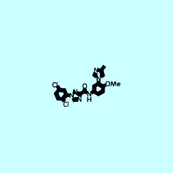 COc1ccc(NC(=O)c2ncn(-c3cc(Cl)ccc3Cl)n2)cc1-n1cnc(C)c1